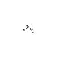 Cl.O.O.[AlH3].[LiH]